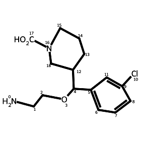 NCCOC(c1cccc(Cl)c1)C1CCCN(C(=O)O)C1